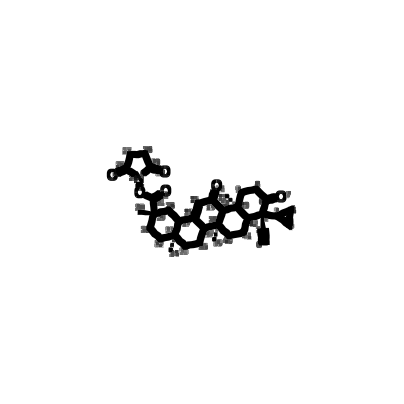 C#C[C@]1(C2CC2)C(=O)CC[C@]2(C)C3C(=O)C=C4C5C[C@@](C)(C(=O)ON6C(=O)CCC6=O)CC[C@]5(C)CCC4[C@]3(C)CCC21